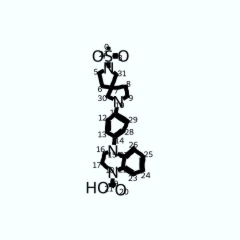 CS(=O)(=O)N1CCC2(CCN(c3ccc(N4CCN(C(=O)O)c5ccccc54)cc3)C2)C1